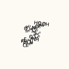 Cc1ccc(NC(=O)c2cc(C(F)(F)F)c(Cl)cn2)cc1-c1cc(OC[C@H](O)CO)nc(C2CCOCC2)c1